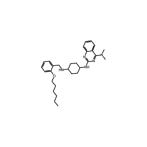 CCCCCCOc1ccccc1CNC1CCC(Nc2nc(N(C)C)c3ccccc3n2)CC1